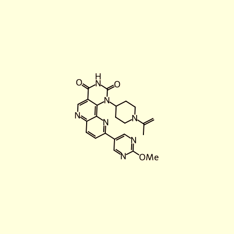 C=C(C)N1CCC(n2c(=O)[nH]c(=O)c3cnc4ccc(-c5cnc(OC)nc5)nc4c32)CC1